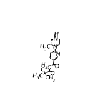 C[C@@H]1CNCCN1c1ccc(C(=O)OC(=O)C(C)(C)C)cn1